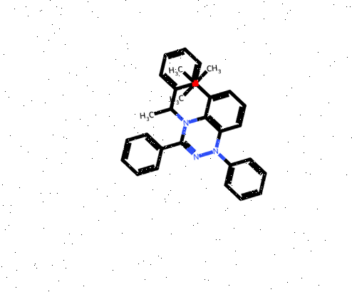 CC(c1ccccc1)N1C(c2ccccc2)=NN(c2ccccc2)c2cccc(C(C)(C)C)c21